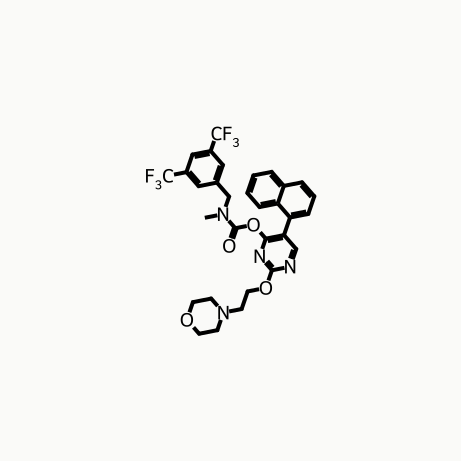 CN(Cc1cc(C(F)(F)F)cc(C(F)(F)F)c1)C(=O)Oc1nc(OCCN2CCOCC2)ncc1-c1cccc2ccccc12